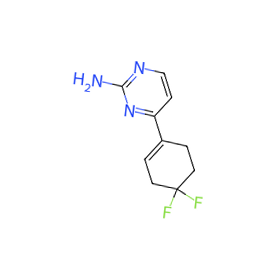 Nc1nccc(C2=CCC(F)(F)CC2)n1